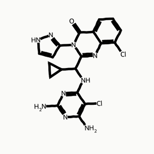 Nc1nc(N)c(Cl)c(NC(c2nc3c(Cl)cccc3c(=O)n2-c2cc[nH]n2)C2CC2)n1